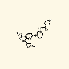 Cn1cc(Nc2nc(N3CCC[C@@H](NC(=O)C4CCNCC4)C3)cnc2C(N)=O)cn1